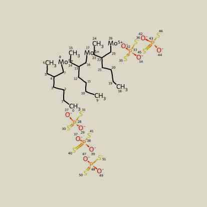 CCCCC(CC)[CH2][Mo+5].CCCCC(CC)[CH2][Mo+5].CCCCC(CC)[CH2][Mo+5].[O-]P([O-])(=S)[S-].[O-]P([O-])(=S)[S-].[O-]P([O-])(=S)[S-].[O-]P([O-])(=S)[S-].[O-]P([O-])(=S)[S-]